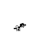 Cc1nnc(-c2ccn(C)n2)o1